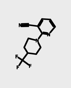 N#Cc1cccnc1N1CCC(C(F)(F)F)CC1